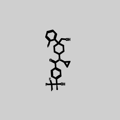 C[C@](O)(c1ccc(C(=O)N(C2CC2)C2CCC(CO)(c3ccccc3F)CC2)cc1)C(F)(F)F